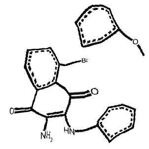 COc1ccccc1.NC1=C(Nc2ccccc2)C(=O)c2c(Br)cccc2C1=O